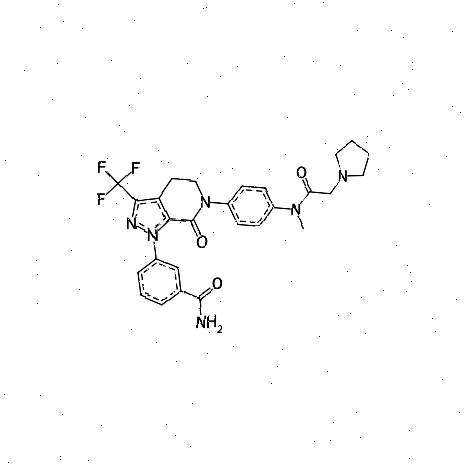 CN(C(=O)CN1CCCC1)c1ccc(N2CCc3c(C(F)(F)F)nn(-c4cccc(C(N)=O)c4)c3C2=O)cc1